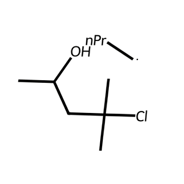 CC(O)CC(C)(C)Cl.[CH2]CCC